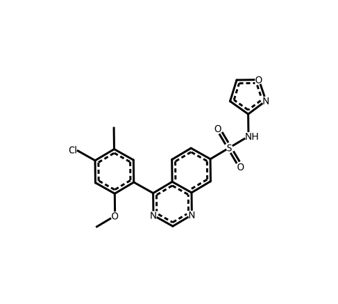 COc1cc(Cl)c(C)cc1-c1ncnc2cc(S(=O)(=O)Nc3ccon3)ccc12